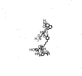 Cc1ncsc1-c1ccc([C@H](C)NCC2C[C@@H](O)CN2C(=O)[C@@H](NC(=O)CCCCCc2ccc(F)c(OC[C@H](CCC(N)=O)NC(=O)C[C@@H]3Cc4cccc5c4N3C(=O)[C@@H](N)CC5)c2)C(C)(C)C)cc1